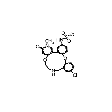 CCS(=O)(=O)Nc1ccc2c(c1)-c1cn(C)c(=O)cc1OCCNCc1cc(Cl)ccc1O2